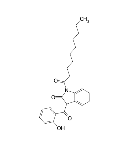 CCCCCCCCCC(=O)N1C(=O)C(C(=O)c2ccccc2O)c2ccccc21